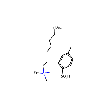 CCCCCCCCCCCCCCCC[N+](C)(C)CC.Cc1ccc(S(=O)(=O)O)cc1